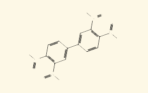 O=[N+]([O-])c1ccc(-c2ccc([N+](=O)[O-])c([N+](=O)[O-])c2)cc1[N+](=O)[O-]